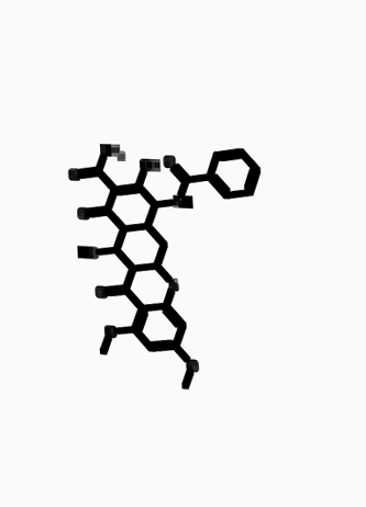 COc1cc(OC)c2c(c1)SC1CC3C(NC(=O)c4ccccc4)C(O)=C(C(N)=O)C(=O)C3C(O)C1C2=O